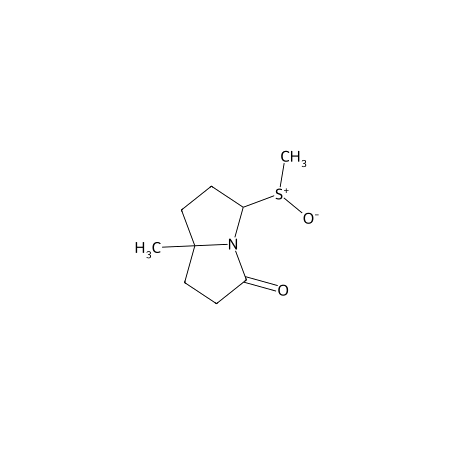 C[S+]([O-])C1CCC2(C)CCC(=O)N12